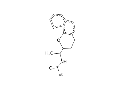 CCC(=O)NC(C)C1CCc2ccc3ccccc3c2O1